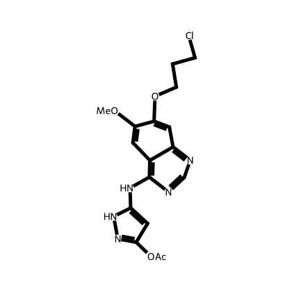 COc1cc2c(Nc3cc(OC(C)=O)n[nH]3)ncnc2cc1OCCCCl